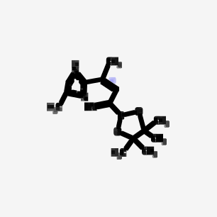 C/C(=C/C(=N)B1OC(C)(C)C(C)(C)O1)c1nc(C)c[nH]1